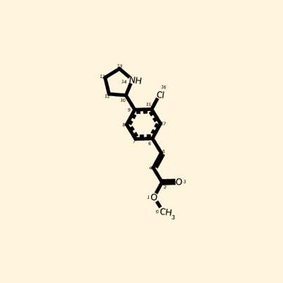 COC(=O)C=Cc1ccc(C2CCCN2)c(Cl)c1